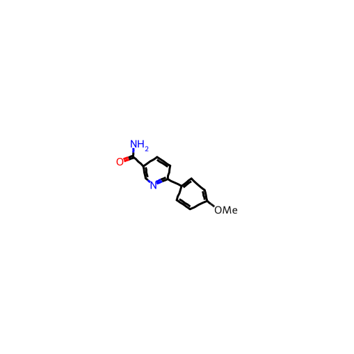 COc1ccc(-c2ccc(C(N)=O)cn2)cc1